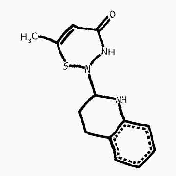 CC1=CC(=O)NN(C2CCc3ccccc3N2)S1